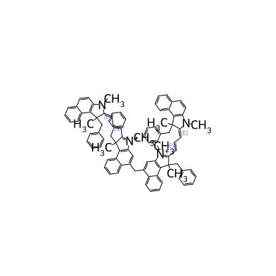 CN1/C(=C/C=C/C2=[N+](C)c3cc(Cc4cc5c(c6ccccc46)C(C)(Cc4ccccc4)C(/C=C/C=C4/N(C)c6ccc7ccccc7c6C4(C)Cc4ccccc4)=[N+]5C)c4ccccc4c3C2(C)Cc2ccccc2)C(C)(Cc2ccccc2)c2c1ccc1ccccc21